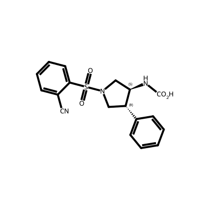 N#Cc1ccccc1S(=O)(=O)N1C[C@@H](NC(=O)O)[C@H](c2ccccc2)C1